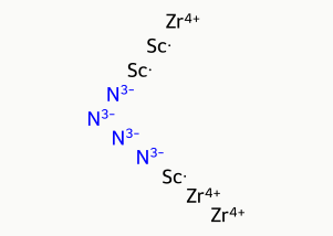 [N-3].[N-3].[N-3].[N-3].[Sc].[Sc].[Sc].[Zr+4].[Zr+4].[Zr+4]